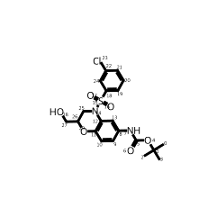 CC(C)(C)OC(=O)Nc1ccc2c(c1)N(S(=O)(=O)c1cccc(Cl)c1)CC(CO)O2